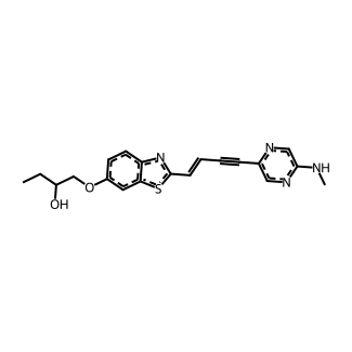 CCC(O)COc1ccc2nc(/C=C/C#Cc3cnc(NC)cn3)sc2c1